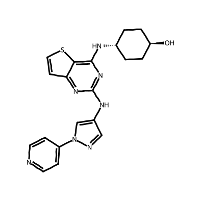 O[C@H]1CC[C@H](Nc2nc(Nc3cnn(-c4ccncc4)c3)nc3ccsc23)CC1